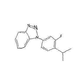 CC(C)c1ccc(-n2nnc3ccccc32)cc1F